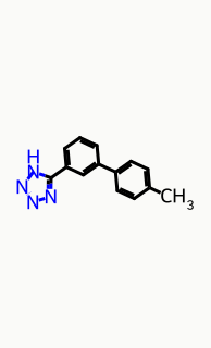 Cc1ccc(-c2cccc(-c3nnn[nH]3)c2)cc1